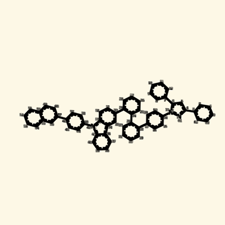 c1ccc(-c2cc(-c3ccccc3)n(-c3ccc(-c4ccccc4-c4ccccc4-c4ccc5c(c4)c4ccccc4n5-c4ccc(-c5ccc6ccccc6c5)cc4)cc3)n2)cc1